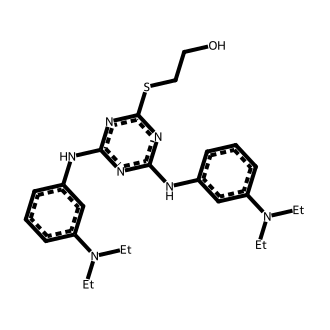 CCN(CC)c1cccc(Nc2nc(Nc3cccc(N(CC)CC)c3)nc(SCCO)n2)c1